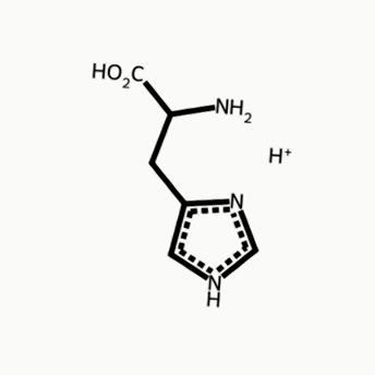 NC(Cc1c[nH]cn1)C(=O)O.[H+]